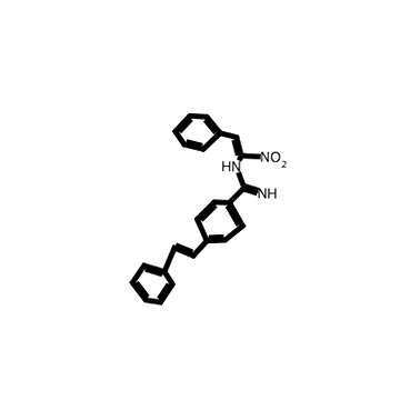 N=C(NC(=Cc1ccccc1)[N+](=O)[O-])c1ccc(C=Cc2ccccc2)cc1